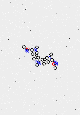 c1ccc(-c2nnc(-c3ccc(N(c4ccccc4)c4ccc5c(c4)C4(c6ccccc6-c6ccccc64)c4cc(-c6nc7ccccc7nc6-c6ccc7c(c6)C6(c8ccccc8-c8ccccc86)c6cc(N(c8ccccc8)c8ccc(-c9nnc(-c%10ccccc%10)o9)cc8)ccc6-7)ccc4-5)cc3)o2)cc1